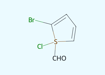 O=CS1(Cl)C=CC=C1Br